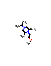 COCCN1C(C)CN(C(C)C)CC1C